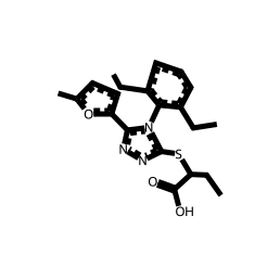 CCc1cccc(CC)c1-n1c(SC(CC)C(=O)O)nnc1-c1ccc(C)o1